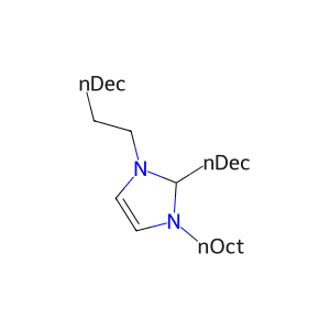 CCCCCCCCCCCCN1C=CN(CCCCCCCC)C1CCCCCCCCCC